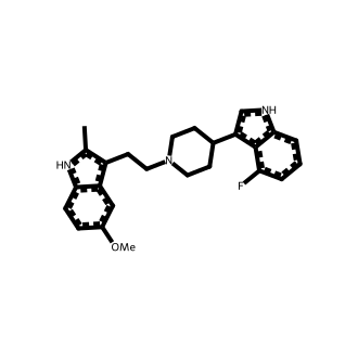 COc1ccc2[nH]c(C)c(CCN3CCC(c4c[nH]c5cccc(F)c45)CC3)c2c1